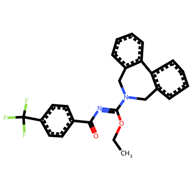 CCOC(=NC(=O)c1ccc(C(F)(F)F)cc1)N1Cc2ccccc2-c2ccccc2C1